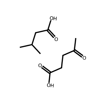 CC(=O)CCC(=O)O.CC(C)CC(=O)O